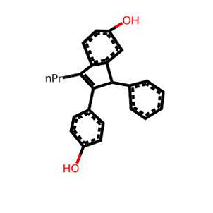 CCCC1=C(c2ccc(O)cc2)C(c2ccccc2)c2cc(O)ccc21